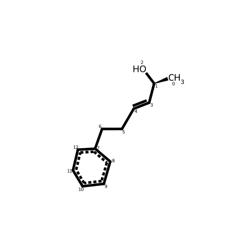 C[C@H](O)C=CCCc1ccccc1